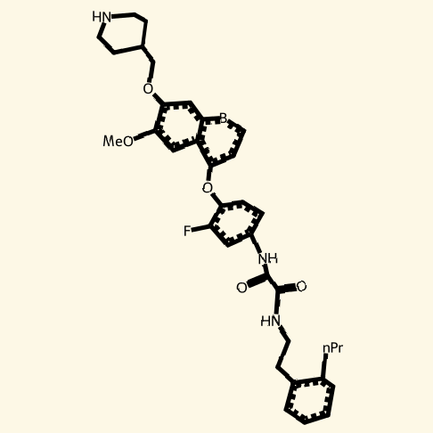 CCCc1ccccc1CCNC(=O)C(=O)Nc1ccc(Oc2ccbc3cc(OCC4CCNCC4)c(OC)cc23)c(F)c1